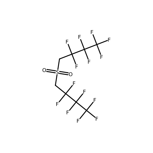 O=S(=O)(CC(F)(F)C(F)(F)C(F)(F)F)CC(F)(F)C(F)(F)C(F)(F)F